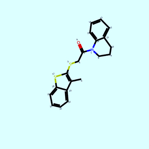 Cc1c(SCC(=O)N2CCCc3ccccc32)sc2ccccc12